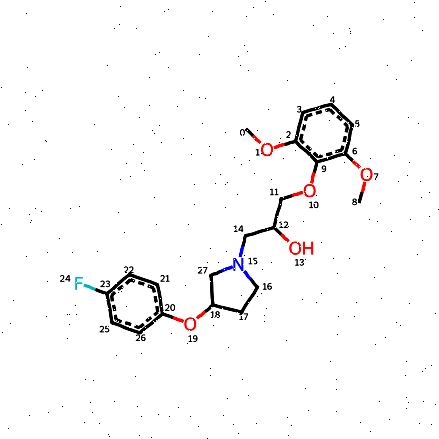 COc1cccc(OC)c1OCC(O)CN1CCC(Oc2ccc(F)cc2)C1